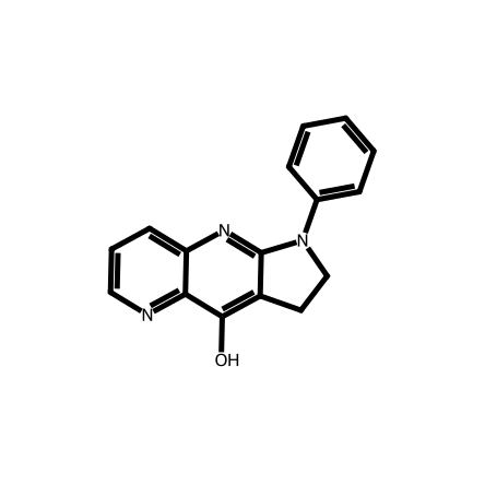 Oc1c2c(nc3cccnc13)N(c1ccccc1)CC2